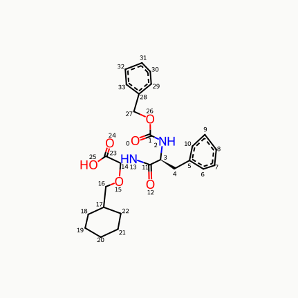 O=C(N[C@@H](Cc1ccccc1)C(=O)NC(OCC1CCCCC1)C(=O)O)OCc1ccccc1